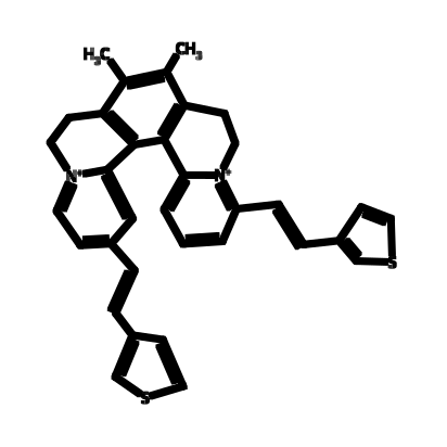 Cc1c(C)c2c(c3c1CC[n+]1ccc(/C=C/c4ccsc4)cc1-3)-c1cccc(/C=C/c3ccsc3)[n+]1CC2